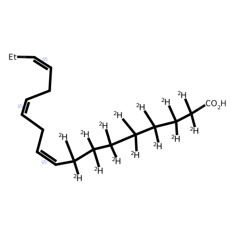 [2H]C([2H])(/C=C\C/C=C\C/C=C\CC)C([2H])([2H])C([2H])([2H])C([2H])([2H])C([2H])([2H])C([2H])([2H])C([2H])([2H])C(=O)O